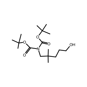 CC(C)(CCCO)CN(C(=O)OC(C)(C)C)C(=O)OC(C)(C)C